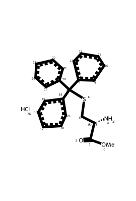 COC(=O)[C@@H](N)CSC(c1ccccc1)(c1ccccc1)c1ccccc1.Cl